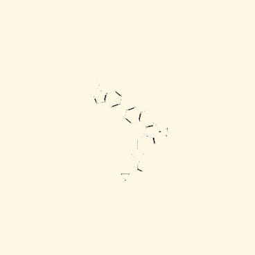 CCn1ncc2cc(-c3ccc(C4=NC5(CC5)C(=O)N4CC4CN(C(=O)C5CC5)C4)c(F)c3)ccc21